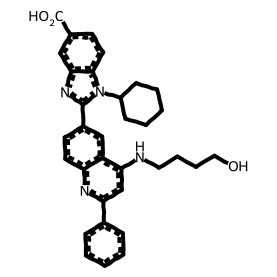 O=C(O)c1ccc2c(c1)nc(-c1ccc3nc(-c4ccccc4)cc(NCCCCO)c3c1)n2C1CCCCC1